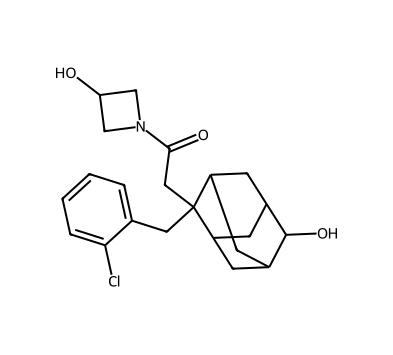 O=C(CC1(Cc2ccccc2Cl)C2CC3CC1CC(C2)C3O)N1CC(O)C1